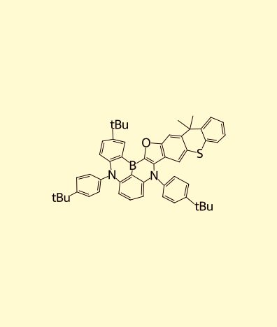 CC(C)(C)c1ccc(N2c3ccc(C(C)(C)C)cc3B3c4oc5cc6c(cc5c4N(c4ccc(C(C)(C)C)cc4)c4cccc2c43)Sc2ccccc2C6(C)C)cc1